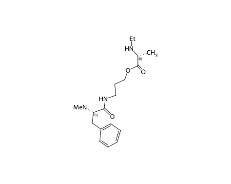 CCN[C@H](C)C(=O)OCCCNC(=O)[C@H](Cc1ccccc1)NC